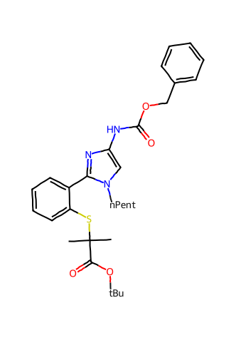 CCCCCn1cc(NC(=O)OCc2ccccc2)nc1-c1ccccc1SC(C)(C)C(=O)OC(C)(C)C